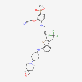 CS(=O)(=O)c1ccc(NCC#Cc2sc3c(NC4CCC(N5CCC6(CC5)COC6)CC4)cccc3c2CC(F)(F)F)c(OCC#N)c1